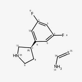 Fc1cc(F)cc([C@H]2CCNC2)c1.NC=S